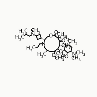 CCCN1C[C@H](C)C[C@@](C)(OC)[C@H](O[C@@H]2O[C@H](C)C[C@H](N(C)C)[C@H]2O)[C@@H](C)C(=O)C(C)(C)C(=O)OC[C@H]1C1CC(N(C)CC(C)C)C1